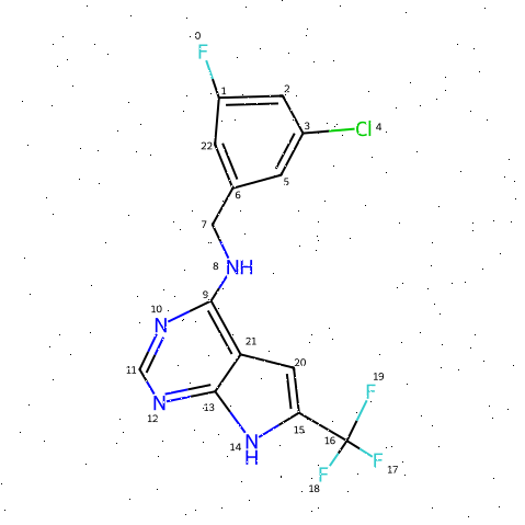 Fc1cc(Cl)cc(CNc2ncnc3[nH]c(C(F)(F)F)cc23)c1